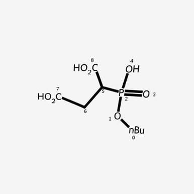 CCCCOP(=O)(O)C(CC(=O)O)C(=O)O